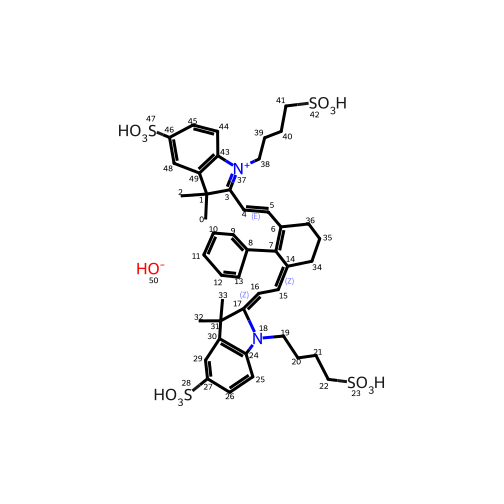 CC1(C)C(/C=C/C2=C(c3ccccc3)C(=C\C=C3/N(CCCCS(=O)(=O)O)c4ccc(S(=O)(=O)O)cc4C3(C)C)/CCC2)=[N+](CCCCS(=O)(=O)O)c2ccc(S(=O)(=O)O)cc21.[OH-]